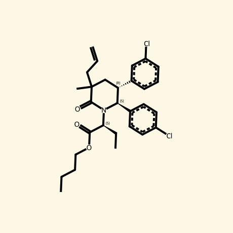 C=CCC1(C)C[C@H](c2cccc(Cl)c2)[C@@H](c2ccc(Cl)cc2)N([C@@H](CC)C(=O)OCCCC)C1=O